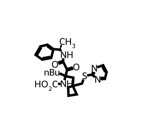 CCCCC(CC1(CSc2ncccn2)CCC1)(NC(=O)O)C(=O)C(=O)N[C@H](C)c1ccccc1